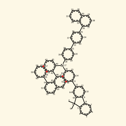 CC1(C)c2ccccc2-c2ccc(-c3ccc(N(c4ccc(-c5ccc(-c6cccc7ccccc67)cc5)cc4)c4ccccc4-c4cccc5cccc(-c6ccccc6)c45)cc3)cc21